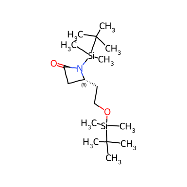 CC(C)(C)[Si](C)(C)OCC[C@@H]1CC(=O)N1[Si](C)(C)C(C)(C)C